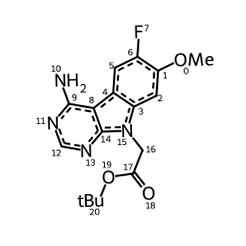 COc1cc2c(cc1F)c1c(N)ncnc1n2CC(=O)OC(C)(C)C